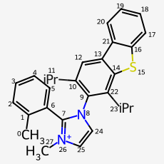 Cc1ccccc1-c1n(-c2c(C(C)C)cc3c(sc4ccccc43)c2C(C)C)cc[n+]1C